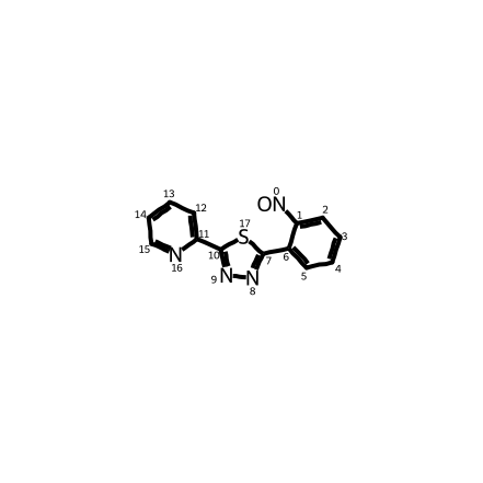 O=Nc1ccccc1-c1nnc(-c2ccccn2)s1